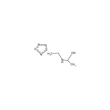 CCNC(C)O.c1cnon1